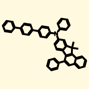 CC1(C)c2cc(N(c3ccccc3)c3ccc(-c4ccc(-c5ccccc5)cc4)cc3)ccc2-c2c(-c3ccccc3)cc3ccccc3c21